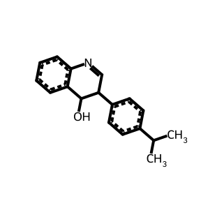 CC(C)c1ccc(C2C=Nc3ccccc3C2O)cc1